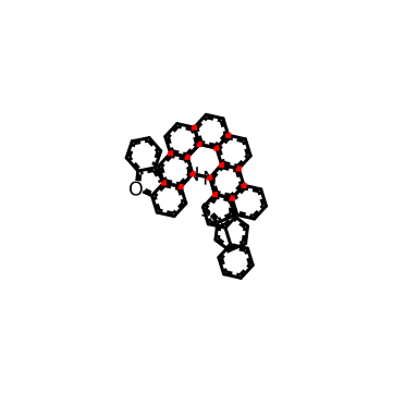 c1ccc(-c2ccccc2N(c2ccccc2-c2ccccc2N(c2cccc3c2sc2ccccc23)c2cccc3oc4ccccc4c23)c2ccc(-c3ccccc3)c3ccccc23)cc1